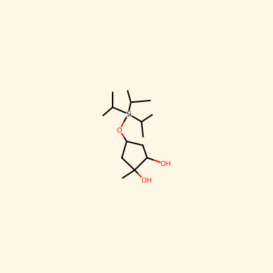 CC(C)[Si](OC1CC(O)C(C)(O)C1)(C(C)C)C(C)C